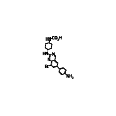 CCc1cc(-c2ccc(N)cc2)cc2cnc(N[C@H]3CC[C@H](NC(=O)O)CC3)nc12